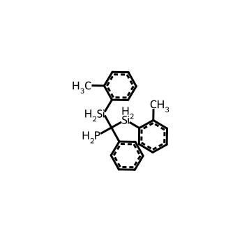 Cc1ccccc1[SiH2]C(P)([SiH2]c1ccccc1C)c1ccccc1